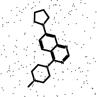 CN1CCN(c2ncnc3cc(N4CCCC4)ccc23)CC1